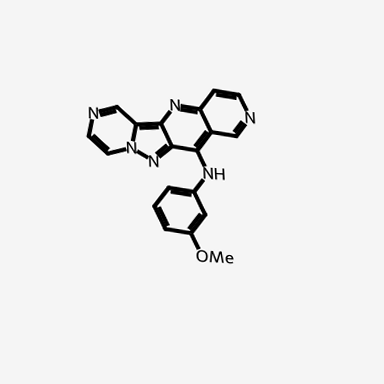 COc1cccc(Nc2c3cnccc3nc3c2nn2ccncc32)c1